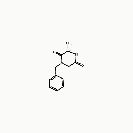 C[C@@H]1NC(=O)CN(Cc2ccccc2)C1=O